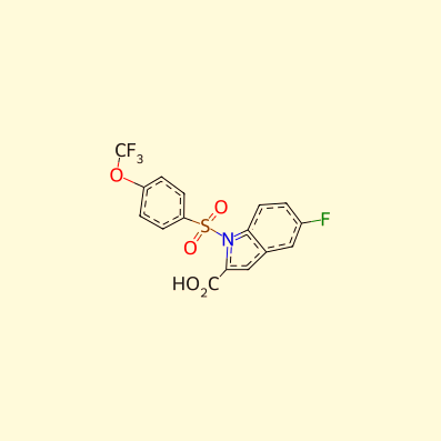 O=C(O)c1cc2cc(F)ccc2n1S(=O)(=O)c1ccc(OC(F)(F)F)cc1